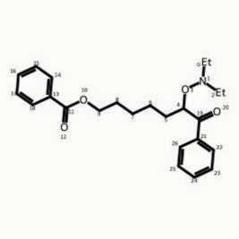 CCN(CC)OC(CCCCCOC(=O)c1ccccc1)C(=O)c1ccccc1